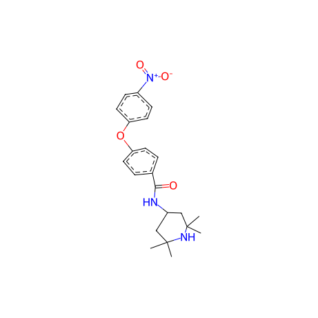 CC1(C)CC(NC(=O)c2ccc(Oc3ccc([N+](=O)[O-])cc3)cc2)CC(C)(C)N1